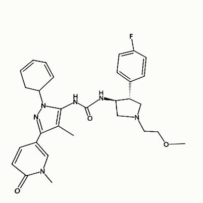 COCCN1C[C@@H](NC(=O)Nc2c(C)c(-c3ccc(=O)n(C)c3)nn2C2C=CC=CC2)[C@H](c2ccc(F)cc2)C1